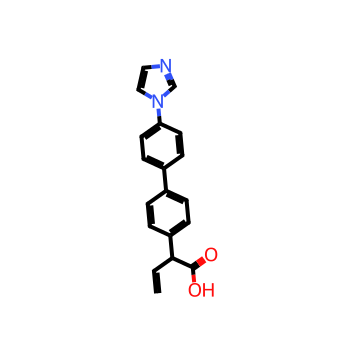 C=CC(C(=O)O)c1ccc(-c2ccc(-n3ccnc3)cc2)cc1